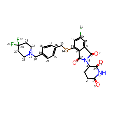 O=C1CCC(N2C(=O)c3cc(F)cc(SCc4ccc(CN5CCC(F)(F)CC5)cc4)c3C2=O)C(=O)N1